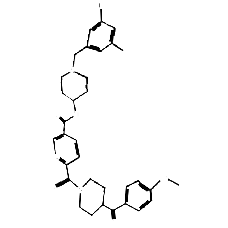 COc1ccc(C(=O)C2CCN(C(=O)c3ccc(C(=O)NC4CCN(Cc5cc(F)cc(F)c5)CC4)cn3)CC2)cc1